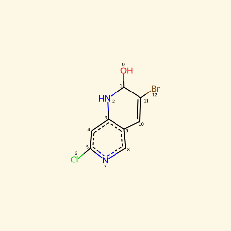 OC1Nc2cc(Cl)ncc2C=C1Br